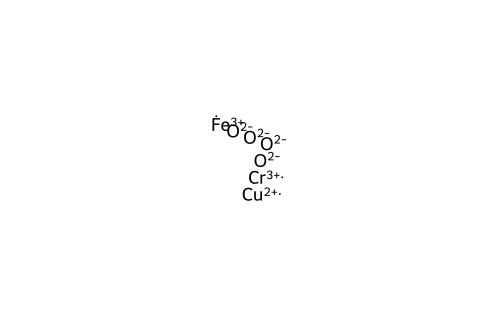 [Cr+3].[Cu+2].[Fe+3].[O-2].[O-2].[O-2].[O-2]